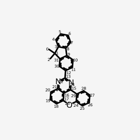 CC1(C)c2ccccc2-c2ccc(-c3nc4c5c(cccc5n3)Oc3ccccc3-4)cc21